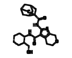 O=C(NC1CCCCC1CO)c1c(NC(=O)C23CC4CC(CC2C4)C3)sc2c1CCOC2